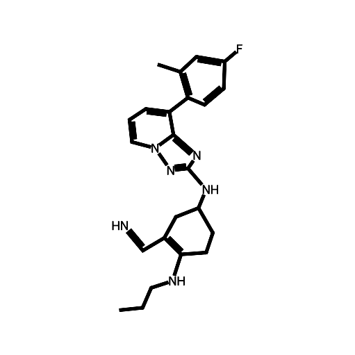 CCCNC1=C(C=N)CC(Nc2nc3c(-c4ccc(F)cc4C)cccn3n2)CC1